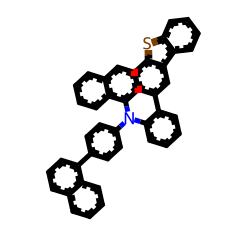 c1ccc(N(c2ccc(-c3cccc4ccccc34)cc2)c2cccc3ccccc23)c(-c2ccc3sc4ccccc4c3c2)c1